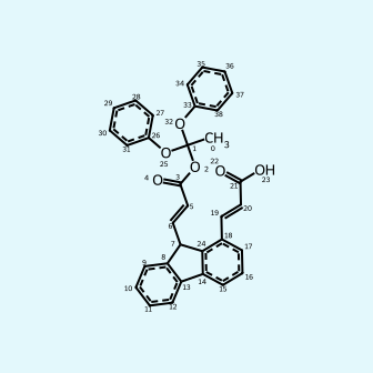 CC(OC(=O)C=CC1c2ccccc2-c2cccc(C=CC(=O)O)c21)(Oc1ccccc1)Oc1ccccc1